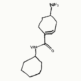 NC1CC=C(C(=O)NC2CCCCC2)CC1